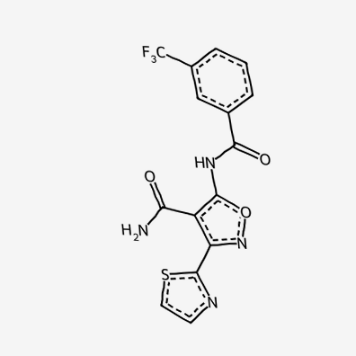 NC(=O)c1c(-c2nccs2)noc1NC(=O)c1cccc(C(F)(F)F)c1